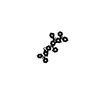 c1ccc(N(c2ccccc2)c2ccc3c(c2)sc2ccc(N(c4ccccc4)c4ccc5c(c4)c4ccc(N(c6ccccc6)c6ccccc6)cc4n5-c4ccccc4)cc23)cc1